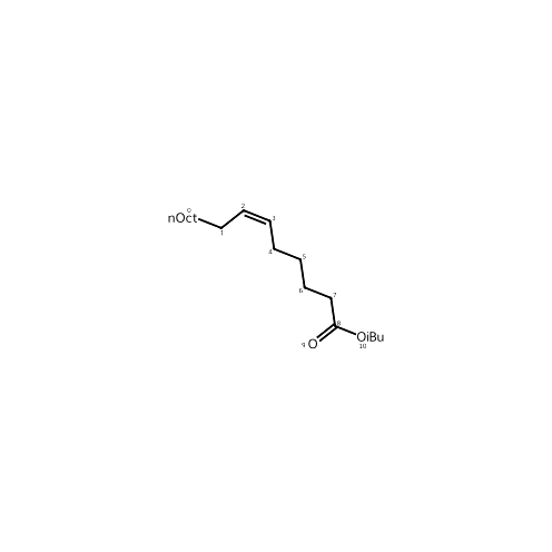 CCCCCCCCC/C=C\CCCCC(=O)OCC(C)C